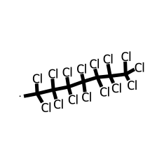 [CH2]C(Cl)(Cl)C(Cl)(Cl)C(Cl)(Cl)C(Cl)(Cl)C(Cl)(Cl)C(Cl)(Cl)C(Cl)(Cl)Cl